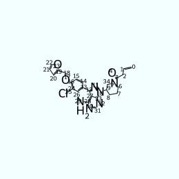 C=CCC(=O)N1CCCC(n2nc(-c3ccc(OCc4ccco4)c(Cl)c3)c3c(N)ncnc32)C1